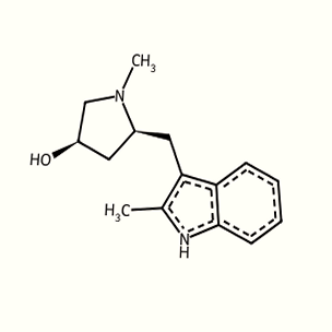 Cc1[nH]c2ccccc2c1C[C@H]1C[C@@H](O)CN1C